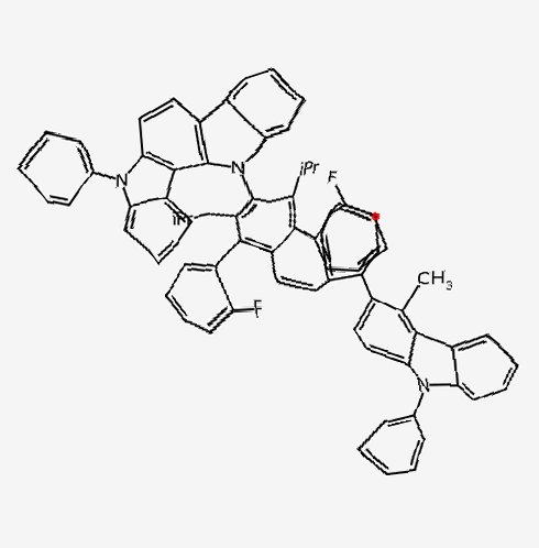 Cc1c(-c2ccccc2/C=C\c2c(-c3ccccc3F)c(C(C)C)c(-n3c4ccccc4c4ccc5c(c6ccccc6n5-c5ccccc5)c43)c(C(C)C)c2-c2ccccc2F)ccc2c1c1ccccc1n2-c1ccccc1